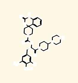 CNc1c(Cl)cc(C[C@@H](OC(=O)N2CCC3(CC2)OC(=O)Nc2ccccc23)C(=O)N2CCC(N3CCNCC3)CC2)cc1C(F)(F)F